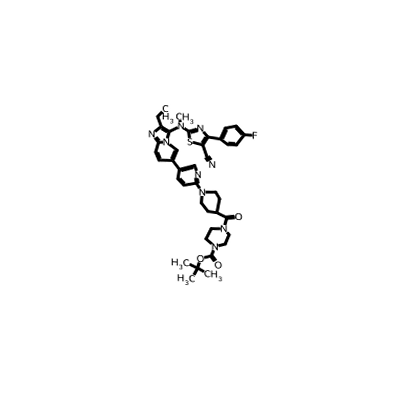 CCc1nc2ccc(-c3ccc(N4CCC(C(=O)N5CCN(C(=O)OC(C)(C)C)CC5)CC4)nc3)cn2c1N(C)c1nc(-c2ccc(F)cc2)c(C#N)s1